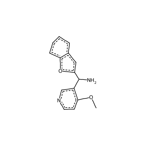 COc1ccncc1C(N)c1cc2ccccc2o1